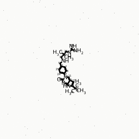 CC(C)(CNCc1ccc(-n2cc3cc(C(C)(C)C)[nH]c3nc2=O)cc1)CNC(=N)N